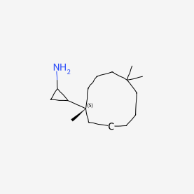 CC1(C)CCCCC[C@](C)(C2CC2N)CCC1